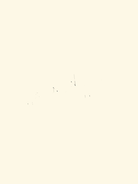 CC(C)CC(=O)Nc1cccc([S+](C)[O-])n1